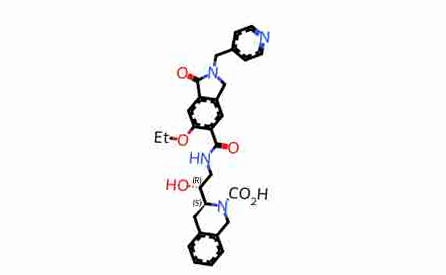 CCOc1cc2c(cc1C(=O)NC[C@@H](O)[C@@H]1Cc3ccccc3CN1C(=O)O)CN(Cc1ccncc1)C2=O